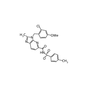 COc1ccc(Cn2c(C)nc3ccc(C(=O)NS(=O)(=O)c4ccc(C)cc4)nc32)c(Cl)c1